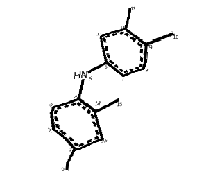 Cc1ccc(Nc2ccc(C)c(C)c2)c(C)c1